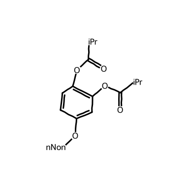 CCCCCCCCCOc1ccc(OC(=O)C(C)C)c(OC(=O)C(C)C)c1